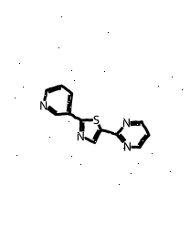 c1cnc(-c2cnc(-c3cccnc3)s2)nc1